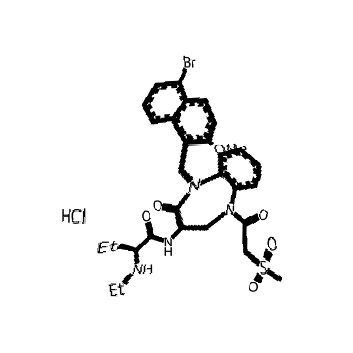 CCNC(CC)C(=O)NC1CN(C(=O)CS(C)(=O)=O)c2ccccc2N(Cc2c(OC)ccc3c(Br)cccc23)C1=O.Cl